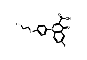 O=C(O)c1cn(-c2ccc(OCCO)cc2)c2ccc(F)cc2c1=O